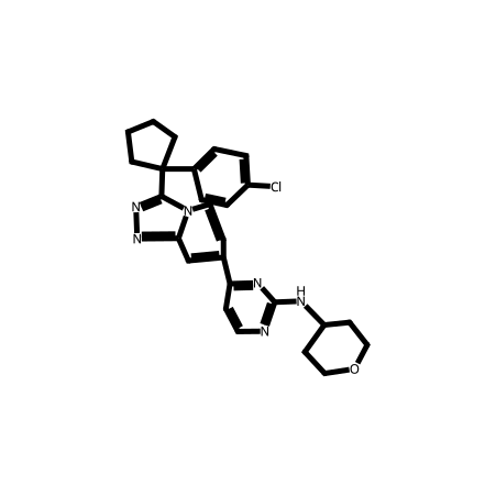 Clc1ccc(C2(c3nnc4cc(-c5ccnc(NC6CCOCC6)n5)ccn34)CCCC2)cc1